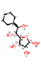 OC(=C1CCCCC1)[C@@H](O)[C@H]1OC(O)[C@H](O)[C@@H]1O